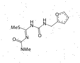 CNC(=O)N=C(NC(=O)NCc1ccco1)SC